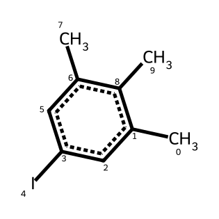 Cc1cc(I)cc(C)c1C